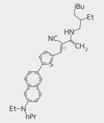 C=C(NCC(CC)CC(C)CC)/C(C#N)=C/c1ccc(-c2ccc3cc(N(CC)CCC)ccc3c2)s1